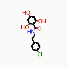 O=C(NCCc1ccc(Cl)cc1)c1c(O)cc(O)cc1O